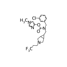 Cn1cnc(OC(=O)N(Cc2cccc(Cl)c2)CC2C3CN(CCC(F)(F)F)CC32)c1